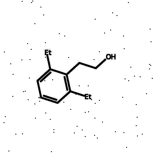 CCc1c[c]cc(CC)c1CCO